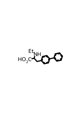 CCNC(Cc1ccc(-c2ccccc2)cc1)C(=O)O